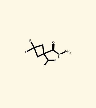 NNC(=O)C1(C(F)F)CC(F)(F)C1